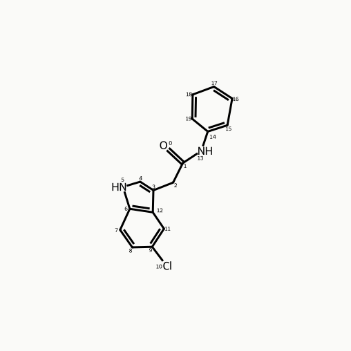 O=C(Cc1c[nH]c2ccc(Cl)cc12)Nc1ccccc1